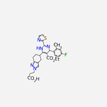 CCOC(=O)C1=C(C2CCc3nn(CCC(=O)O)cc3C2)NC(c2nccs2)=NC1c1ccc(F)cc1C